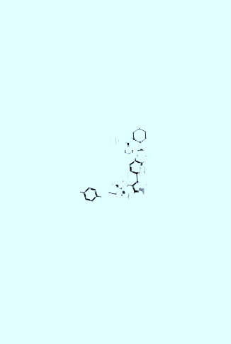 Cc1nc(-c2onc(C)c2NS(=O)(=O)CCOc2ccc(F)cc2)ccc1NC(=O)[C@H]1CCCC[C@@H]1C(=O)O